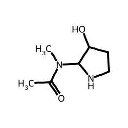 CC(=O)N(C)C1NCCC1O